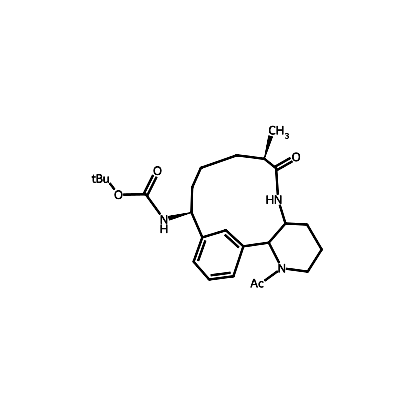 CC(=O)N1CCCC2NC(=O)[C@H](C)CCC[C@H](NC(=O)OC(C)(C)C)c3cccc(c3)C21